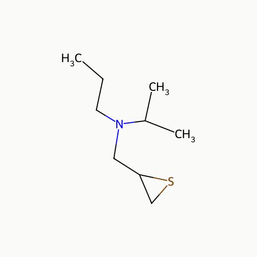 CCCN(CC1CS1)C(C)C